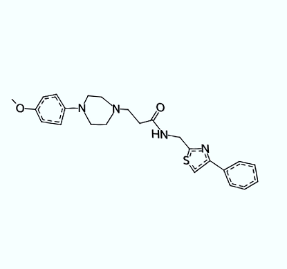 COc1ccc(N2CCN(CCC(=O)NCc3nc(-c4ccccc4)cs3)CC2)cc1